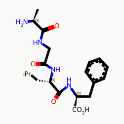 CC(C)C[C@H](NC(=O)CNC(=O)[C@H](C)N)C(=O)N[C@@H](Cc1ccccc1)C(=O)O